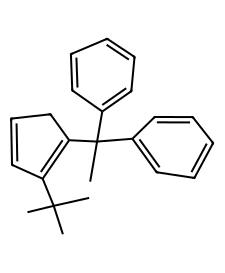 CC(C)(C)C1=C(C(C)(c2ccccc2)c2ccccc2)CC=C1